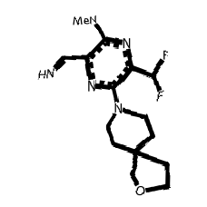 CNc1nc(C(F)F)c(N2CCC3(CCOC3)CC2)nc1C=N